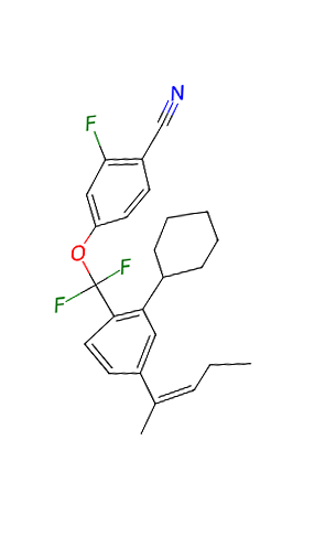 CC/C=C(/C)c1ccc(C(F)(F)Oc2ccc(C#N)c(F)c2)c(C2CCCCC2)c1